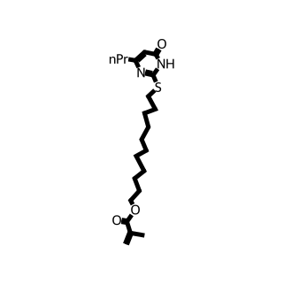 C=C(C)C(=O)OCCCCCCCCCCCSc1nc(CCC)cc(=O)[nH]1